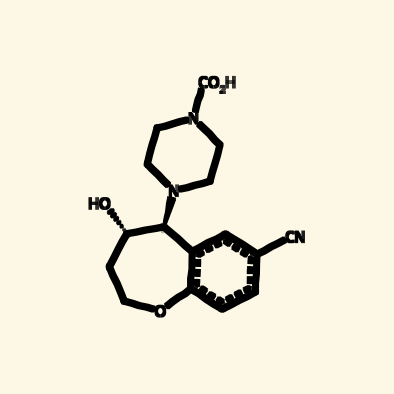 N#Cc1ccc2c(c1)[C@H](N1CCN(C(=O)O)CC1)[C@@H](O)CCO2